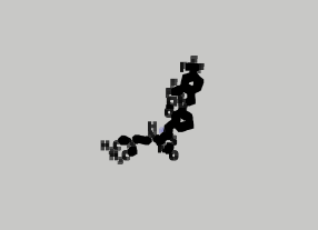 CCN(CC)CCNC1=NC(=O)S/C1=C\c1cccc(OCc2ccc(C(F)(F)F)cc2C(F)(F)F)c1OC